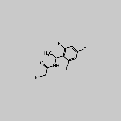 CC(NC(=O)CBr)c1c(F)cc(F)cc1F